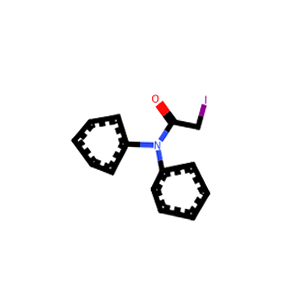 O=C(CI)N(c1ccccc1)c1ccccc1